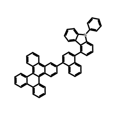 c1ccc(-n2c3ccccc3c3c(-c4ccc(-c5ccc6c(c5)c5ccccc5c5c7ccccc7c7ccccc7c65)c5ccccc45)cccc32)cc1